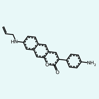 C=CCNc1ccc2cc3cc(-c4ccc(N)cc4)c(=O)oc3cc2c1